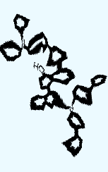 Oc1ccc(-c2cc(N(c3ccc(-c4ccccc4)cc3)c3ccc(-c4ccccc4)cc3)cc3ccccc23)c2cccc(-c3cccc(-c4ccc(N(c5ccccc5)c5ccccc5)cc4)c3)c12